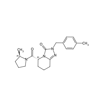 Cc1ccc(Cn2nc3n(c2=O)[C@@H](C(=O)N2CCC[C@H]2C)CCC3)cc1